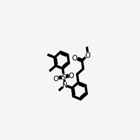 COC(=O)CCc1ccccc1N(C)S(=O)(=O)c1cccc(C)c1C